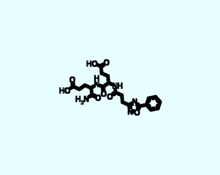 NC(=O)C(CCC(=O)O)NC(=O)C(CCC(=O)O)NC(=O)CCc1noc(-c2ccccc2)n1